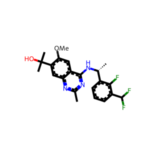 COc1cc2c(N[C@H](C)c3cccc(C(F)F)c3F)nc(C)nc2cc1C(C)(C)O